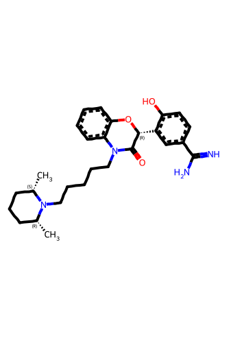 C[C@@H]1CCC[C@H](C)N1CCCCCN1C(=O)[C@@H](c2cc(C(=N)N)ccc2O)Oc2ccccc21